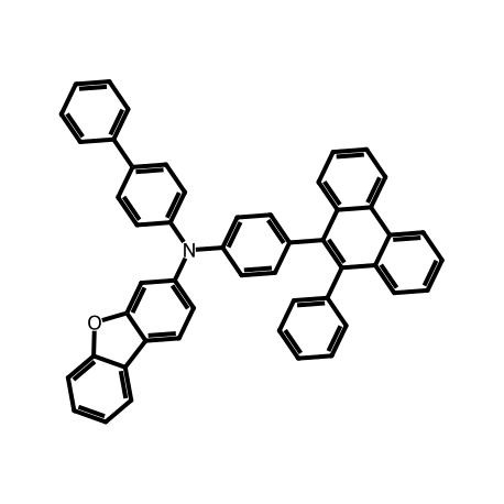 c1ccc(-c2ccc(N(c3ccc(-c4c(-c5ccccc5)c5ccccc5c5ccccc45)cc3)c3ccc4c(c3)oc3ccccc34)cc2)cc1